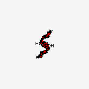 O=C1c2ccc(-c3cc(CCSc4ccc(-n5cc(-c6ccc(Br)cc6)nn5)cc4)ccc3C(=O)O)cc2C(=O)c2ccc(-c3cc(CCSc4ccc(-n5cc(-c6ccc(Br)cc6)nn5)cc4)ccc3C(=O)O)cc21